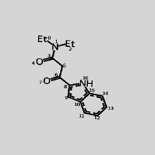 CCN(CC)C(=O)CC(=O)c1cc2ccccc2[nH]1